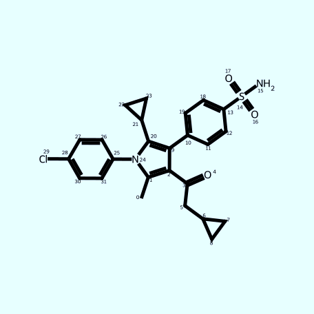 Cc1c(C(=O)CC2CC2)c(-c2ccc(S(N)(=O)=O)cc2)c(C2CC2)n1-c1ccc(Cl)cc1